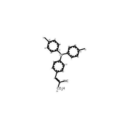 [C-]#[N+]/C(=C\c1ccc(N(c2ccc(C)cc2)c2ccc(C)cc2)cc1)C(=O)O